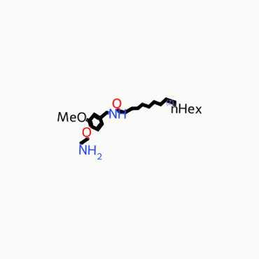 CCCCCC/C=C\CCCCCCCC(=O)NCc1ccc(OCCN)c(OC)c1